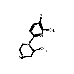 Cc1nc(N2CCNC[C@@H]2C)ccc1F